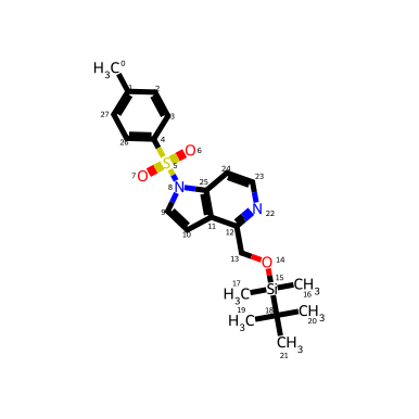 Cc1ccc(S(=O)(=O)n2ccc3c(CO[Si](C)(C)C(C)(C)C)nccc32)cc1